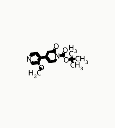 COc1cnccc1C1=CCN(C(=O)OC(C)(C)C)C(=O)C1